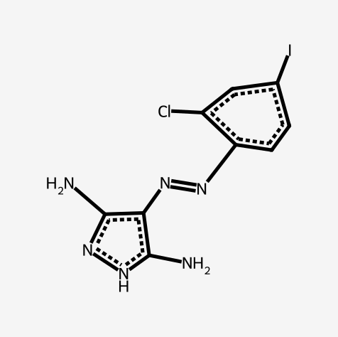 Nc1n[nH]c(N)c1N=Nc1ccc(I)cc1Cl